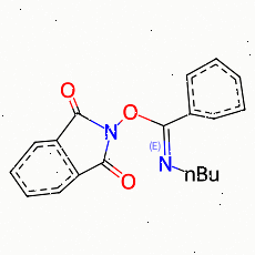 CCCC/N=C(/ON1C(=O)c2ccccc2C1=O)c1ccccc1